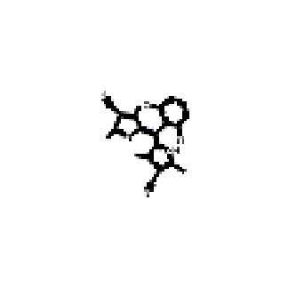 CC1=N/C(=C(\c2[nH]c(C)c(C#N)c2C)c2c(Cl)cccc2Cl)C(C)=C1C#N